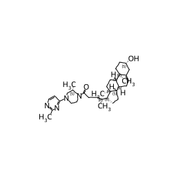 Cc1nccc(N2CCN(C(=O)CC[C@@H](C)[C@H]3CC[C@H]4[C@@H]5CC=C6C[C@@H](O)CC[C@]6(C)[C@H]5CC[C@]34C)[C@@H](C)C2)n1